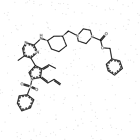 C=C/C=c1\c(=C/C)c(-c2nc(N[C@@H]3CCC[C@H](CN4CCN(C(=O)OCc5ccccc5)CC4)C3)ncc2C)cn1S(=O)(=O)c1ccccc1